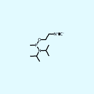 [C-]#[N+]CCOP(C)N(C(C)C)C(C)C